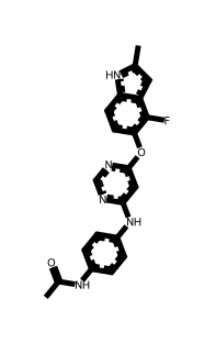 CC(=O)Nc1ccc(Nc2cc(Oc3ccc4[nH]c(C)cc4c3F)ncn2)cc1